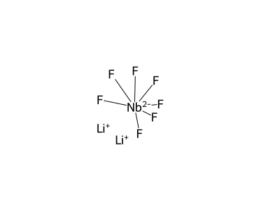 [F][Nb-2]([F])([F])([F])([F])([F])[F].[Li+].[Li+]